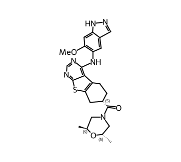 COc1cc2[nH]ncc2cc1Nc1ncnc2sc3c(c12)CC[C@H](C(=O)N1C[C@H](C)O[C@@H](C)C1)C3